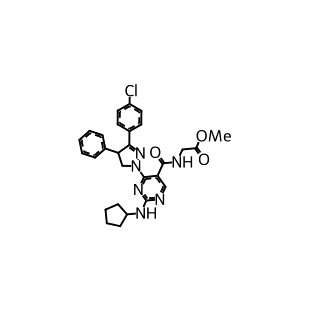 COC(=O)CNC(=O)c1cnc(NC2CCCC2)nc1N1CC(c2ccccc2)C(c2ccc(Cl)cc2)=N1